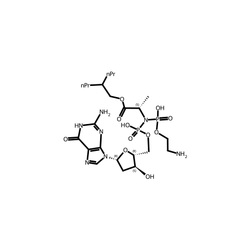 CCCC(CCC)COC(=O)[C@H](C)N(P(=O)(O)OCCN)P(=O)(O)OC[C@H]1O[C@@H](n2cnc3c(=O)[nH]c(N)nc32)C[C@@H]1O